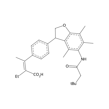 CCC(C(=O)O)=C(C)c1ccc(C2COc3c(C)c(C)c(NC(=O)CC(C)(C)C)c(C)c32)cc1